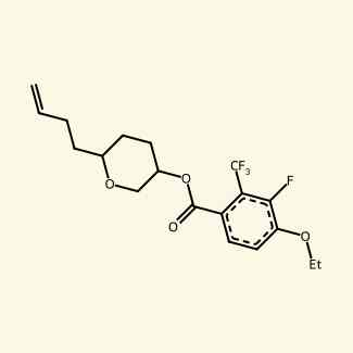 C=CCCC1CCC(OC(=O)c2ccc(OCC)c(F)c2C(F)(F)F)CO1